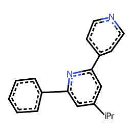 CC(C)c1cc(-c2ccccc2)nc(-c2ccncc2)c1